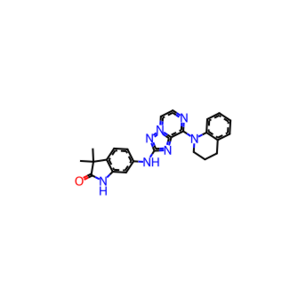 CC1(C)C(=O)Nc2cc(Nc3nc4c(N5CCCc6ccccc65)nccn4n3)ccc21